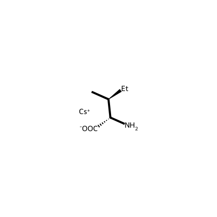 CC[C@H](C)[C@H](N)C(=O)[O-].[Cs+]